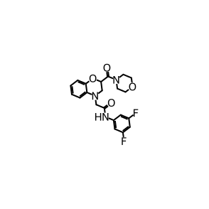 O=C(CN1CC(C(=O)N2CCOCC2)Oc2ccccc21)Nc1cc(F)cc(F)c1